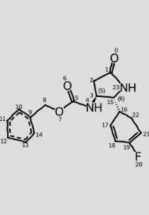 O=C1C[C@H](NC(=O)OCc2ccccc2)[C@@H](C2C=CC(F)=CC2)N1